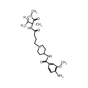 COC(=O)[C@@](C)(NC(=O)CCCN1CCC(NC(=O)c2ccc(N)c(OC)c2)CC1)C(C)C